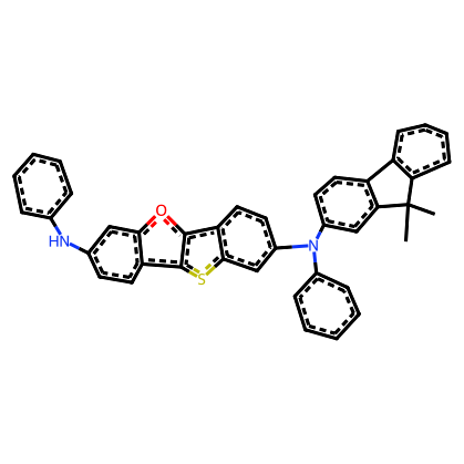 CC1(C)c2ccccc2-c2ccc(N(c3ccccc3)c3ccc4c(c3)sc3c5ccc(Nc6ccccc6)cc5oc43)cc21